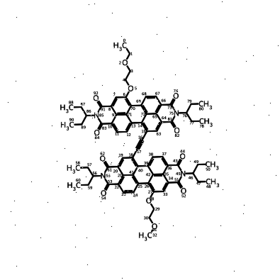 CCOCCOc1cc2c3c(ccc4c5c(C#Cc6cc7c8c(ccc9c%10c(OCCOC)cc%11c%12c(ccc(c6c89)c%12%10)C(=O)N(C(CC)CC)C%11=O)C(=O)N(C(CC)CC)C7=O)cc6c7c(ccc(c1c34)c75)C(=O)N(C(CC)CC)C6=O)C(=O)N(C(CC)CC)C2=O